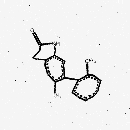 Cc1ccccc1-c1cc2c(cc1C)CC(=O)N2